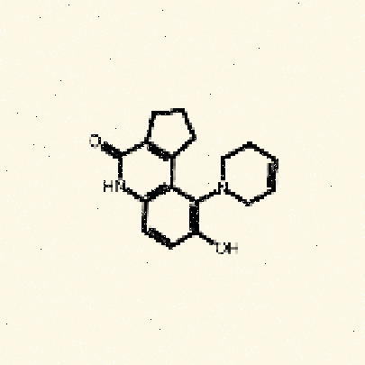 O=c1[nH]c2ccc(O)c(N3CC=CCC3)c2c2c1CCC2